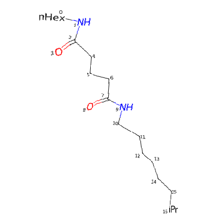 CCCCCCNC(=O)CCCC(=O)NCCCCCCC(C)C